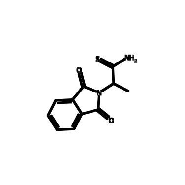 CC(C(N)=S)N1C(=O)c2ccccc2C1=O